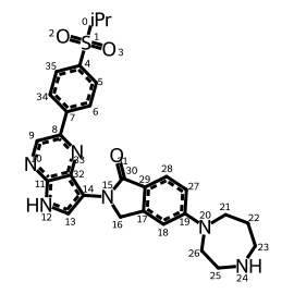 CC(C)S(=O)(=O)c1ccc(-c2cnc3[nH]cc(N4Cc5cc(N6CCCNCC6)ccc5C4=O)c3n2)cc1